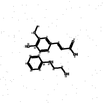 COc1cc(C=CC(=O)O)ccc1O.OCCNc1ccccc1